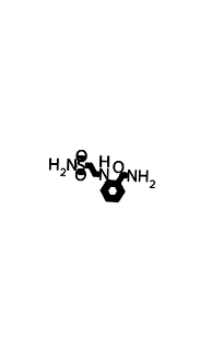 NC(=O)c1ccccc1NCCS(N)(=O)=O